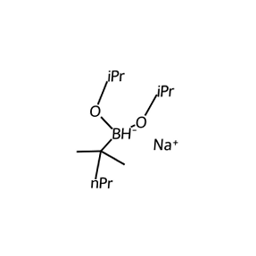 CCCC(C)(C)[BH-](OC(C)C)OC(C)C.[Na+]